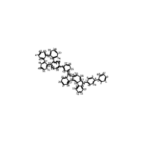 c1ccc(-c2ccc(-n3c4ccccc4c4c5c6ccccc6n(-c6cccc(-c7cnc8c(n7)-c7ccccc7-c7ccccc7-c7ccccc7-8)c6)c5ccc43)cc2)cc1